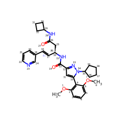 COc1cccc(OC)c1-c1cc(C(=O)N[C@@H](/C=C/c2cccnc2)CC(=O)NC2CCC2)nn1C1CCCC1